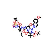 CCC[C@@H]1C[C@]1(NC(=O)[C@@H]1C[C@@H](Oc2nccc3cc(OC)ccc23)CN1C(=O)[C@@H](NC(=O)OC(C)(C)C)C(C)(C)C)C(=O)NS(=O)(=O)OC1(C)CC1